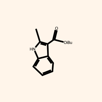 Cc1[nH]c2ccccc2c1C(=O)OCC(C)C